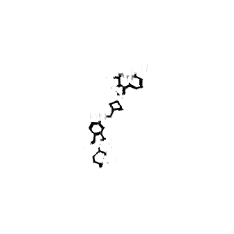 CNC(=O)c1nn(C2CC(CNc3ccc4c(c3)C(=O)N(C3CCC(=O)NC3=O)C4=O)C2)cc1-c1cccc(C)n1